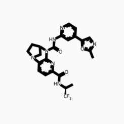 Cc1ncc(-c2ccnc(NC(=O)N3c4nc(C(=O)N[C@@H](C)C(F)(F)F)ccc4N4CCC3C4)c2)o1